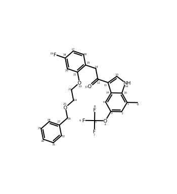 Cc1cc(OC(F)(F)F)cc2c(C(=O)Cc3ccc(F)cc3OCCOCc3ccccc3)c[nH]c12